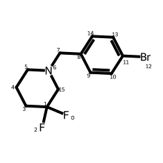 FC1(F)CCCN(Cc2ccc(Br)cc2)C1